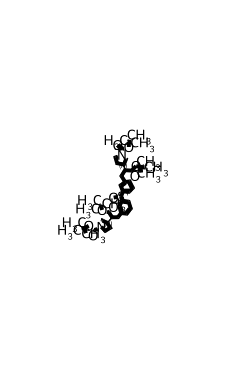 CC(C)(C)OC(=O)C(Cc1cccc([S+]([O-])c2cccc(CC(C(=O)OC(C)(C)C)[C@H]3CCN(C(=O)OC(C)(C)C)C3)c2)c1)[C@H]1CCN(C(=O)OC(C)(C)C)C1